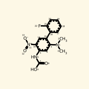 CN(C)c1cc(NC(=O)O)c([N+](=O)[O-])cc1-c1ccccc1F